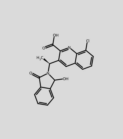 C[C@@H](c1cc2cccc(Cl)c2nc1C(=O)O)N1C(=O)c2ccccc2C1O